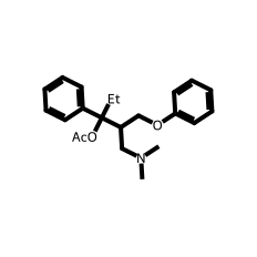 CCC(OC(C)=O)(c1ccccc1)C(COc1ccccc1)CN(C)C